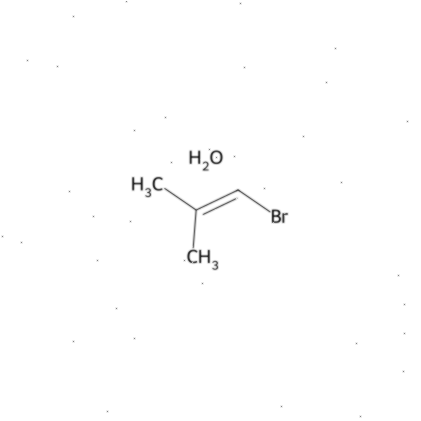 CC(C)=CBr.O